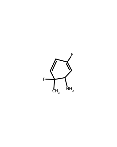 CC1(F)C=CC(F)=CC1N